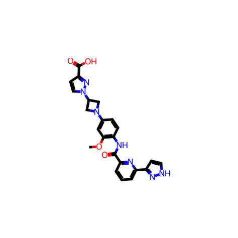 COc1cc(N2CC(n3ccc(C(=O)O)n3)C2)ccc1NC(=O)c1cccc(-c2cc[nH]n2)n1